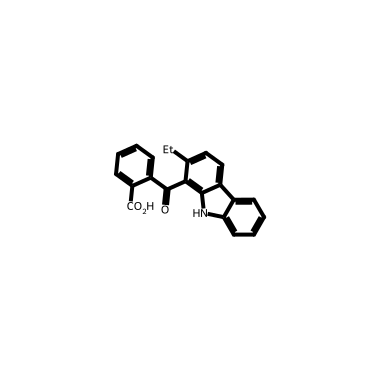 CCc1ccc2c([nH]c3ccccc32)c1C(=O)c1ccccc1C(=O)O